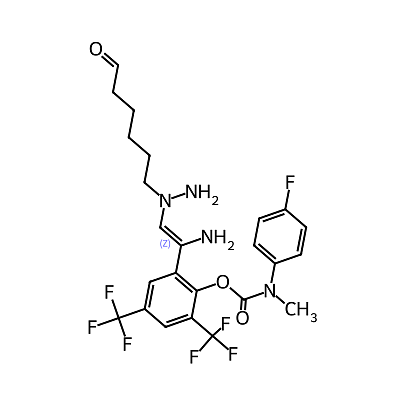 CN(C(=O)Oc1c(/C(N)=C/N(N)CCCCCC=O)cc(C(F)(F)F)cc1C(F)(F)F)c1ccc(F)cc1